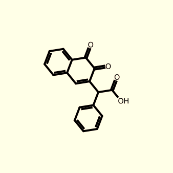 O=C1C(=O)c2ccccc2C=C1C(C(=O)O)c1ccccc1